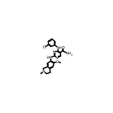 COc1cc2c(cc1Nc1ncc(C(N)=O)c(Nc3cccc(Cl)c3)n1)CN(C)CC2